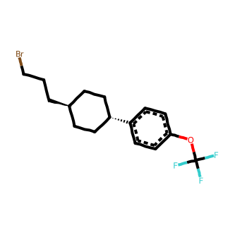 FC(F)(F)Oc1ccc([C@H]2CC[C@H](CCCBr)CC2)cc1